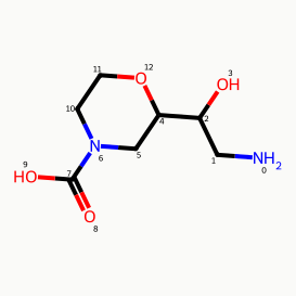 NCC(O)C1CN(C(=O)O)CCO1